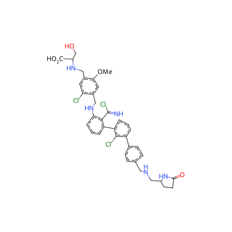 COc1cc(CNc2cccc(-c3cccc(-c4ccc(CNCC5CCC(=O)N5)cc4)c3Cl)c2C(=N)Cl)c(Cl)cc1CNC(CO)C(=O)O